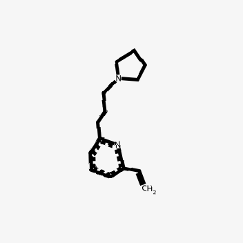 C=Cc1cccc(CCCN2CCCC2)n1